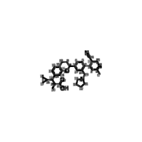 Cc1cc(-c2ccc(C3CCc4ccc([C@H](C5CC5)[C@H](C)C(=O)O)cc4O3)cc2CN2CCCC2)c(C#N)cn1